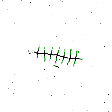 FC(F)(F)C(F)(F)C(F)(F)C(F)(F)C(F)(F)C(F)(F)C(F)(F)C(F)(F)Br.[C]F